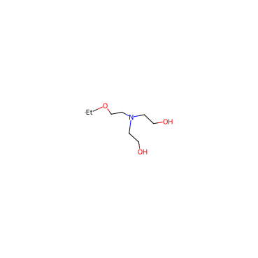 C[CH]OCCN(CCO)CCO